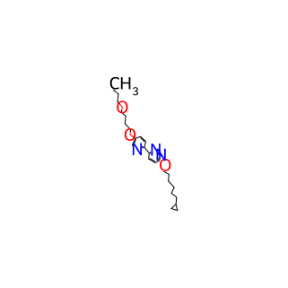 CCCCOCCCCOc1ccc(-c2ccc(OCCCCCCC3CC3)nn2)nc1